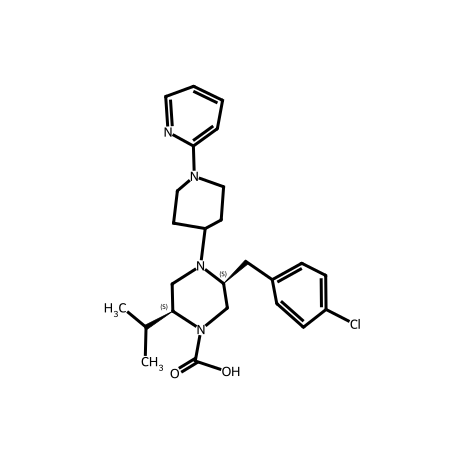 CC(C)[C@H]1CN(C2CCN(c3ccccn3)CC2)[C@@H](Cc2ccc(Cl)cc2)CN1C(=O)O